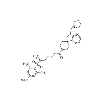 COc1cc(C)c(S(=O)(=O)N(C)CCOCC(=O)N2CCC(CCCN3CCCC3)(c3cccnc3)CC2)c(C)c1